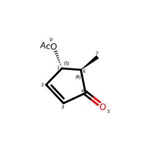 CC(=O)O[C@H]1C=CC(=O)[C@@H]1C